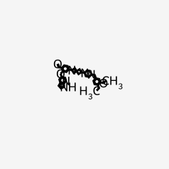 CCc1ccc(CN2CCN(C3CC4(C3)CN(c3ccc(C=O)c(Oc5cnc6[nH]ccc6c5)c3)C4)CC2)cc1OC